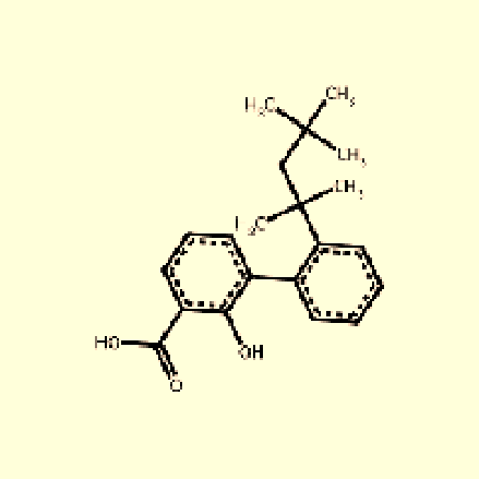 CC(C)(C)CC(C)(C)c1ccccc1-c1cccc(C(=O)O)c1O